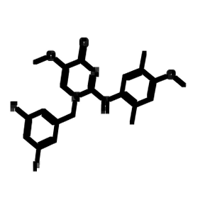 COc1cc(C)c(Nc2nc(=O)c(OC)cn2Cc2cc(F)cc(F)c2)cc1C